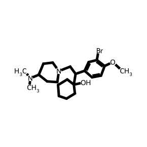 COc1ccc(C(CN2CCC(N(C)C)CC2)C2(O)CCCCC2)cc1Br